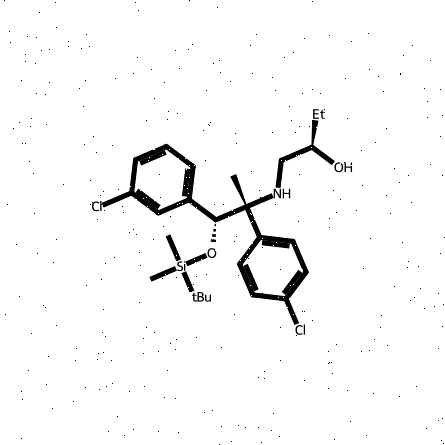 CC[C@@H](O)CN[C@](C)(c1ccc(Cl)cc1)[C@H](O[Si](C)(C)C(C)(C)C)c1cccc(Cl)c1